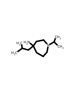 CC(C)CC1(N)CCCN(C(C)C)CC1